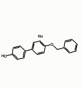 Oc1ccc(-c2ccc(OCc3ccccc3)cc2)cc1.[KH]